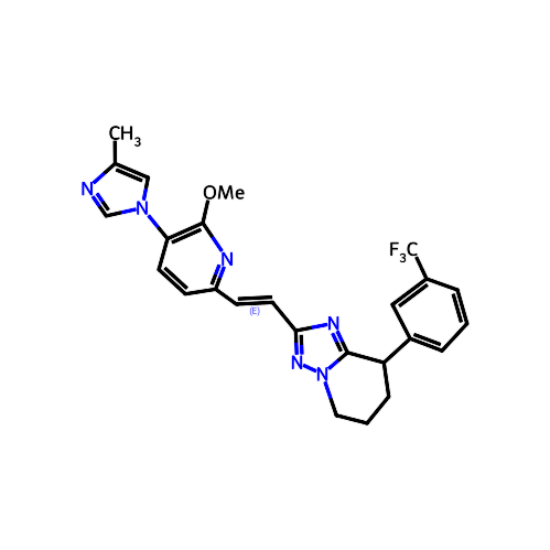 COc1nc(/C=C/c2nc3n(n2)CCCC3c2cccc(C(F)(F)F)c2)ccc1-n1cnc(C)c1